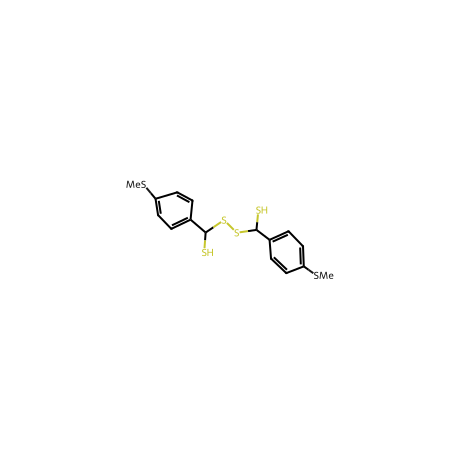 CSc1ccc(C(S)SSC(S)c2ccc(SC)cc2)cc1